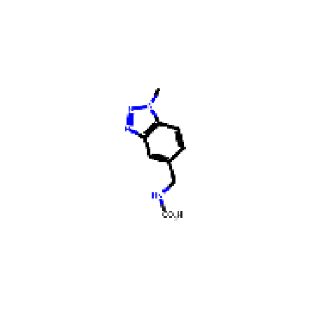 Cn1nnc2cc(CNC(=O)O)ccc21